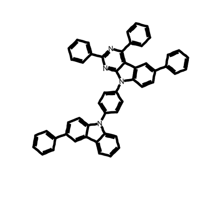 c1ccc(-c2ccc3c(c2)c2ccccc2n3-c2ccc(-n3c4ccc(-c5ccccc5)cc4c4c(-c5ccccc5)nc(-c5ccccc5)nc43)cc2)cc1